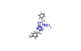 N[C@H](CCc1ccccc1)c1nc(Cc2ccc(F)cc2)n[nH]1